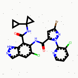 O=C(NC1(C2CC2)CC1)c1c(NC(=O)c2cc(Br)nn2-c2ncccc2Cl)c(Cl)cc2cn[nH]c12